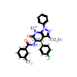 CCOC(=O)c1nn(-c2ccccc2)c2c1[C@@H](c1ccc(F)cc1)[C@@H](NC(=O)c1cccc(C(F)(F)F)c1)C(=O)N2CC